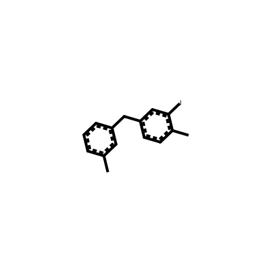 Cc1cccc(Cc2ccc(C)c(I)c2)c1